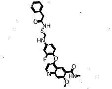 CNC(=O)c1cc2c(Oc3ccc(NCSNC(=O)Cc4ccccc4)cc3F)ccnc2cc1OC